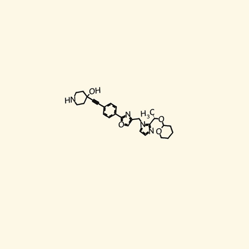 C[C@H](OC1CCCCO1)c1nccn1Cc1coc(-c2ccc(C#CC3(O)CCNCC3)cc2)n1